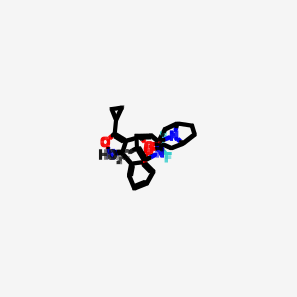 O=C(O)c1ccc(N2C3CCC2CC(OCc2c(-c4ccccc4OC(F)F)noc2C2CC2)C3)nc1